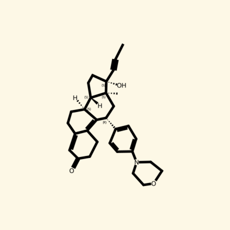 CC#C[C@]1(O)CC[C@H]2[C@@H]3CCC4=CC(=O)CCC4=C3[C@@H](c3ccc(N4CCOCC4)cc3)C[C@@]21C